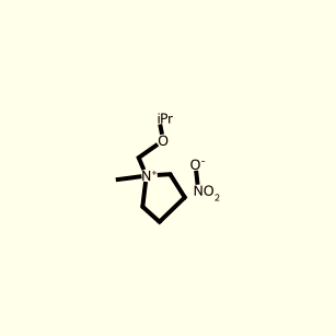 CC(C)OC[N+]1(C)CCCC1.O=[N+]([O-])[O-]